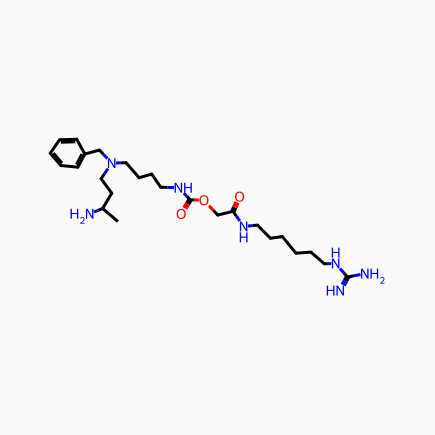 CC(N)CCN(CCCCNC(=O)OCC(=O)NCCCCCCNC(=N)N)Cc1ccccc1